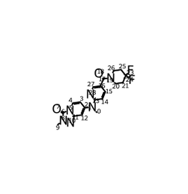 CN(c1ccn2c(=O)n(C)nc2c1)c1ccc(C(=O)N2CCC(F)(F)CC2)cn1